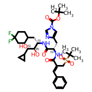 CC(C)(C)OC(=O)n1cnc(C[C@H](NC(=O)C(=Cc2ccccc2)CS(=O)(=O)C(C)(C)C)C(=O)N[C@@H](CC2CCC(F)(F)CC2)[C@@H](O)[C@@H](O)C2CC2)c1